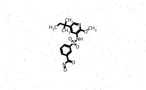 CCC(C)(C)c1cnc(OC)c(NS(=O)(=O)c2cccc(C(=O)N=O)c2)c1